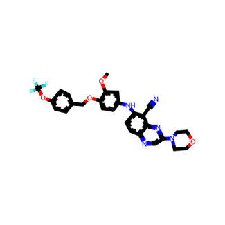 COc1cc(Nc2ccc3ncc(N4CCOCC4)nc3c2C#N)ccc1OCc1ccc(OC(F)(F)F)cc1